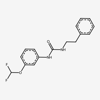 O=C(NCCc1ccccc1)Nc1cccc(OC(F)F)c1